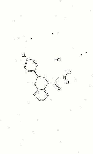 CCN(CC)CC(=O)N1C[C@H](c2ccc(Cl)cc2)Sc2ccccc21.Cl